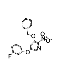 O=[N+]([O-])c1ncc(Oc2cccc(F)c2)cc1OCc1ccccc1